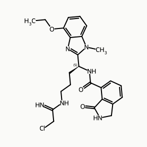 CCOc1cccc2c1nc([C@H](CCCNC(=N)CCl)NC(=O)c1cccc3c1C(=O)NC3)n2C